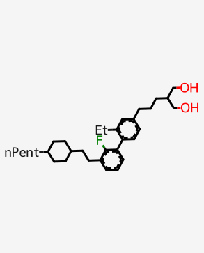 CCCCCC1CCC(CCc2cccc(-c3ccc(CCCC(CO)CO)cc3CC)c2F)CC1